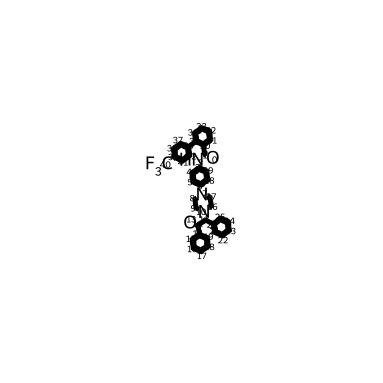 O=C(Nc1ccc(N2CCN(C(C(=O)c3ccccc3)c3ccccc3)CC2)cc1)c1ccccc1-c1ccc(C(F)(F)F)cc1